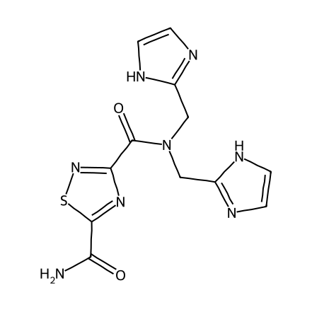 NC(=O)c1nc(C(=O)N(Cc2ncc[nH]2)Cc2ncc[nH]2)ns1